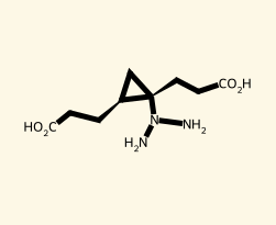 NN(N)[C@@]1(CCC(=O)O)C[C@@H]1CCC(=O)O